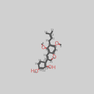 COc1cc2c(c(OC)c1CC=C(C)C)C=C(c1ccc(O)cc1O)CO2